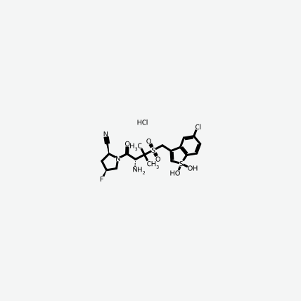 CC(C)([C@H](N)C(=O)N1C[C@@H](F)C[C@H]1C#N)S(=O)(=O)CC1=CS(O)(O)c2ccc(Cl)cc21.Cl